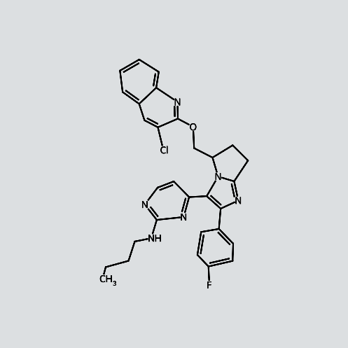 CCCCNc1nccc(-c2c(-c3ccc(F)cc3)nc3n2C(COc2nc4ccccc4cc2Cl)CC3)n1